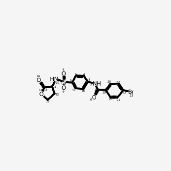 O=C(Nc1ccc(S(=O)(=O)NC2CCOC2=O)cc1)c1ccc(Br)cc1